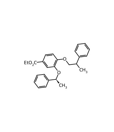 CCOC(=O)c1ccc(OCC(C)c2ccccc2)c(O[C@@H](C)c2ccccc2)c1